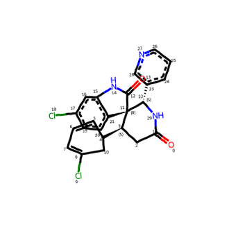 O=C1C[C@@H](C2C=CC=C(Cl)C2)[C@]2(C(=O)Nc3cc(Cl)ccc32)[C@H](c2cccnc2)N1